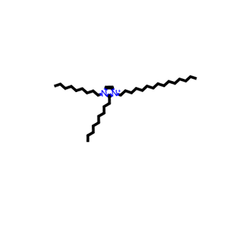 CCCCCCCCCCCCCCC[n+]1ccn(CCCCCCCCC)c1CCCCCCCCC